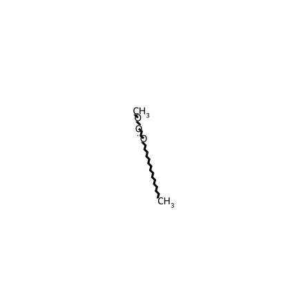 CCCCCCCCCCCCCCCCCCO[CH]COCCOCC